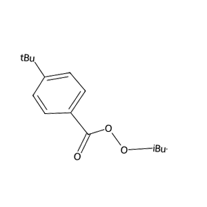 CC[C](C)OOC(=O)c1ccc(C(C)(C)C)cc1